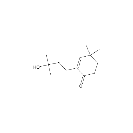 CC(C)(O)CCC1=CC(C)(C)CCC1=O